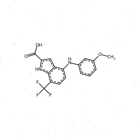 COc1cccc(Nc2ccc(C(F)(F)F)c3[nH]c(C(=O)O)cc23)c1